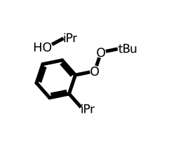 CC(C)O.CC(C)c1ccccc1OOC(C)(C)C